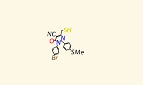 CSc1ccc(-c2nc(CS)c(C#N)c(=O)n2-c2ccc(Br)cc2)cc1